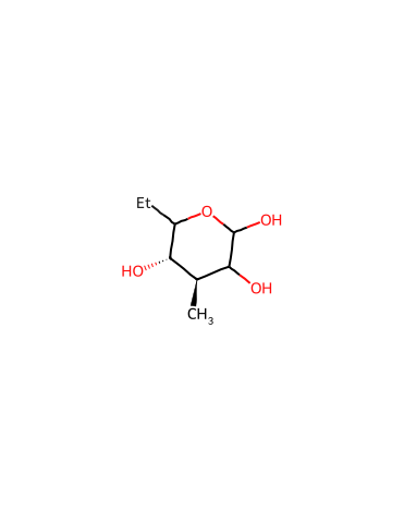 CCC1OC(O)C(O)[C@@H](C)[C@@H]1O